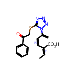 C=C(/C=C\C(=C/C)C(=O)O)n1nnnc1SCC(=O)c1ccccc1